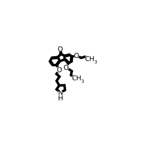 CCCOc1cc(OCCC)c2c(c1)C(=O)c1cccc(OCCCC3CCNC3)c1-2